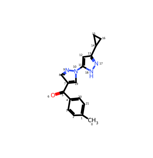 Cc1ccc(C(=O)c2cnn(-c3cc(C4CC4)n[nH]3)c2)cc1